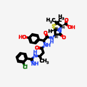 CC(CC(=O)NC(C(=O)N[C@@H]1C(=O)N2[C@@H]1SC(C)(C)[C@@H]2C(=O)O)c1ccc(O)cc1)NC(=N)c1ccccc1Cl